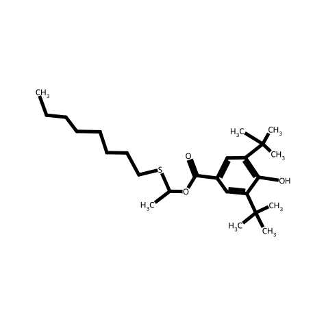 CCCCCCCCSC(C)OC(=O)c1cc(C(C)(C)C)c(O)c(C(C)(C)C)c1